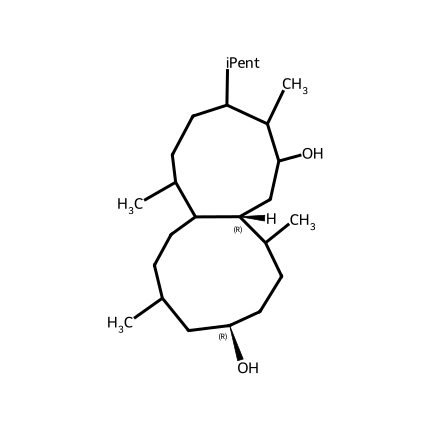 CCCC(C)C1CCC(C)C2CCC(C)C[C@H](O)CCC(C)[C@H]2CC(O)C1C